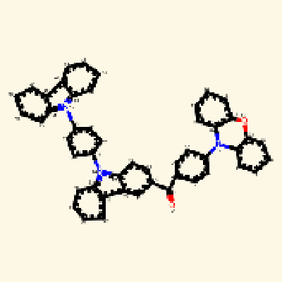 O=C(c1ccc(N2c3ccccc3Oc3ccccc32)cc1)c1ccc2c(c1)c1ccccc1n2-c1ccc(-n2c3ccccc3c3ccccc32)cc1